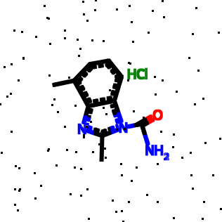 Cc1cccc2c1nc(C)n2C(N)=O.Cl